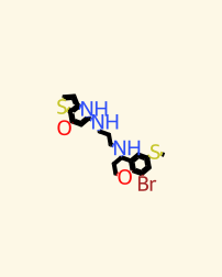 CSc1cc(Br)c2c(c1)C(NCCCNc1cc(=O)c3sccc3[nH]1)CCO2